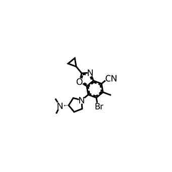 Cc1c(Br)c(N2CC[C@H](N(C)C)C2)c2oc(C3CC3)nc2c1C#N